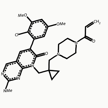 C=CC(=O)N1CCN(CC2(Cn3c(=O)c(-c4cc(OC)cc(OC)c4Cl)cc4cnc(NC)nc43)CC2)CC1